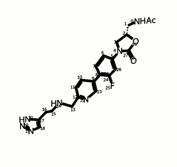 CC(=O)NC[C@H]1CN(c2ccc(-c3ccc(CNCCc4cnn[nH]4)nc3)c(F)c2)C(=O)O1